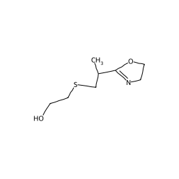 CC(CSCCO)C1=NCCO1